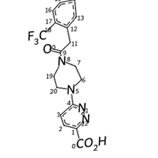 O=C(O)c1ccc(N2CCN(C(=O)Cc3ccccc3C(F)(F)F)CC2)nn1